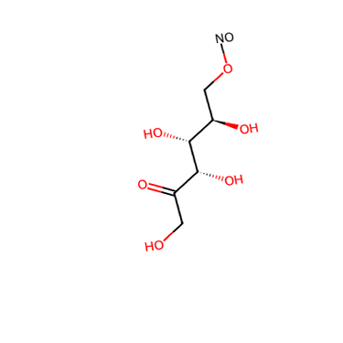 O=NOC[C@@H](O)[C@@H](O)[C@H](O)C(=O)CO